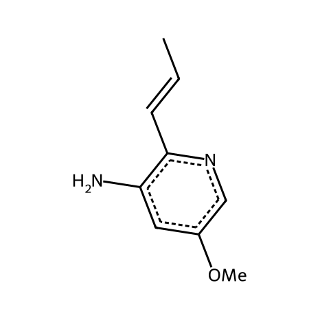 C/C=C/c1ncc(OC)cc1N